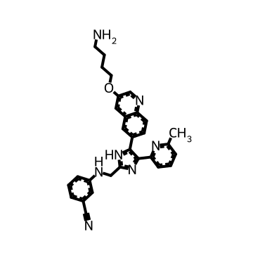 Cc1cccc(-c2nc(CNc3cccc(C#N)c3)[nH]c2-c2ccc3ncc(OCCCCN)cc3c2)n1